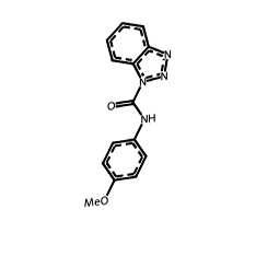 COc1ccc(NC(=O)n2nnc3ccccc32)cc1